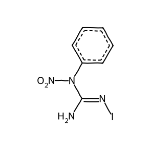 NC(=NI)N(c1ccccc1)[N+](=O)[O-]